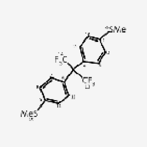 CSc1ccc(C(c2ccc(SC)cc2)(C(F)(F)F)C(F)(F)F)cc1